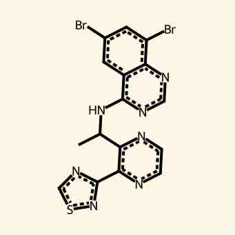 CC(Nc1ncnc2c(Br)cc(Br)cc12)c1nccnc1-c1ncsn1